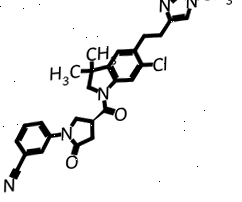 Cn1cnc(CCc2cc3c(cc2Cl)N(C(=O)[C@H]2CC(=O)N(c4cccc(C#N)c4)C2)CC3(C)C)c1